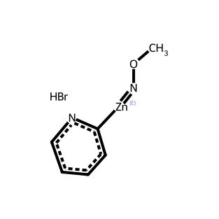 Br.CO/[N]=[Zn]/[c]1ccccn1